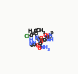 CC1(C)CCC(CN2CC[N+](c3ccc(C(N)=O)c(Oc4cnc5[nH]ccc5c4)c3)(S(=O)(=O)c3ccc(NC4CCN(C5CCC5)CC4)c([N+](=O)[O-])c3)CC2)=C(c2ccc(Cl)cc2)C1